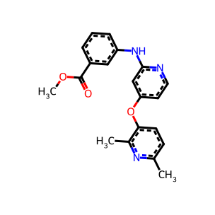 COC(=O)c1cccc(Nc2cc(Oc3ccc(C)nc3C)ccn2)c1